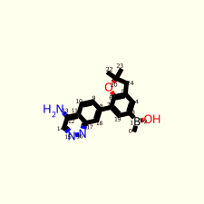 CB(O)c1cc2c(c(-c3ccc4c(N)cnnc4c3)c1)OC(C)(C)C2